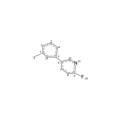 [CH2]c1cccc(-c2ccc(F)nc2)c1